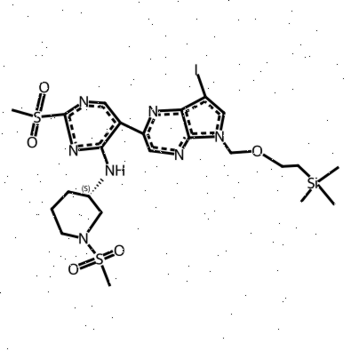 C[Si](C)(C)CCOCn1cc(I)c2nc(-c3cnc(S(C)(=O)=O)nc3N[C@H]3CCCN(S(C)(=O)=O)C3)cnc21